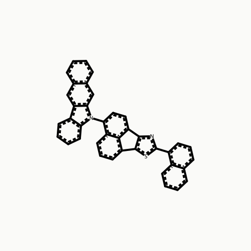 c1ccc2cc3c(cc2c1)c1ccccc1n3-c1ccc2c3c(cccc13)-c1sc(-c3cccc4ccccc34)nc1-2